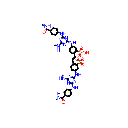 CNC(=O)c1ccc(Nc2nc(NC)nc(Nc3ccc(C=Cc4ccc(Nc5nc(NC)nc(Nc6ccc(C(=O)NC)cc6)n5)cc4S(=O)(=O)O)c(S(=O)(=O)O)c3)n2)cc1